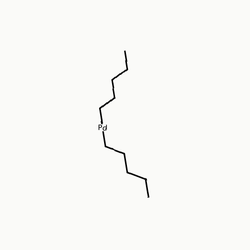 CCCC[CH2][Pd][CH2]CCCC